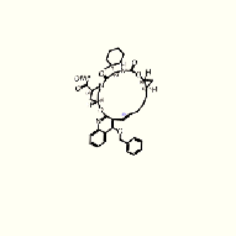 COC(=O)[C@@H]1C[C@@H]2CN1C(=O)[C@H](C1(C)CCCCC1)NC(=O)O[C@@H]1C[C@H]1CCC/C=C/c1c(nc3ccccc3c1OCc1ccccc1)O2